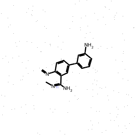 C=Nc1ccc(-c2cccc(N)c2)cc1/C(N)=N\C